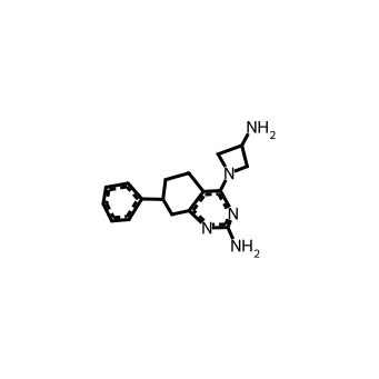 Nc1nc2c(c(N3CC(N)C3)n1)CCC(c1ccccc1)C2